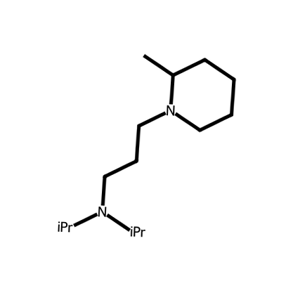 CC1CCCCN1CCCN(C(C)C)C(C)C